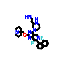 N=C/C=C1/CN(c2nc(OCC34CCCN3CCC4)nc3c(F)c(-c4cccc5cccc(F)c45)ncc23)CCCN1